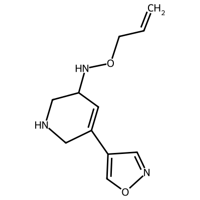 C=CCONC1C=C(c2cnoc2)CNC1